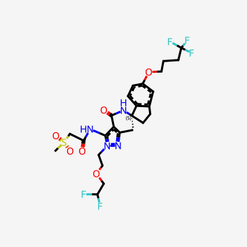 CS(=O)(=O)CC(=O)Nc1c2c(nn1CCOCC(F)F)C[C@]1(CCc3cc(OCCCC(F)(F)F)ccc31)NC2=O